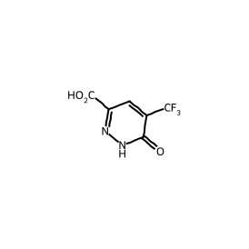 O=C(O)c1cc(C(F)(F)F)c(=O)[nH]n1